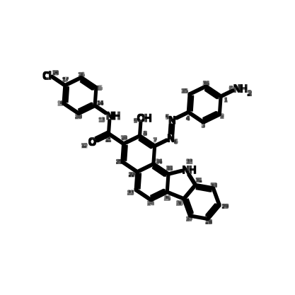 Nc1ccc(N=Nc2c(O)c(C(=O)Nc3ccc(Cl)cc3)cc3ccc4c5ccccc5[nH]c4c23)cc1